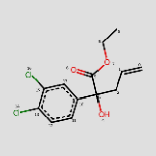 C=CCC(O)(C(=O)OCC)c1ccc(Cl)c(Cl)c1